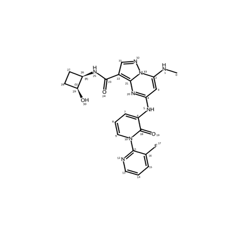 CNc1cc(Nc2cccn(-c3ncccc3F)c2=O)nc2c(C(=O)N[C@@H]3CC[C@@H]3O)cnn12